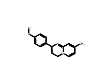 CCOc1ccc(C2[C]CN3C=CC(C)=CC3=N2)cc1